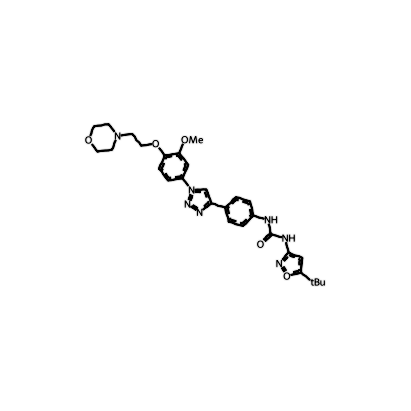 COc1cc(-n2cc(-c3ccc(NC(=O)Nc4cc(C(C)(C)C)on4)cc3)nn2)ccc1OCCN1CCOCC1